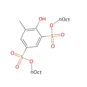 CCCCCCCCOS(=O)(=O)c1cc(C)c(O)c(S(=O)(=O)OCCCCCCCC)c1